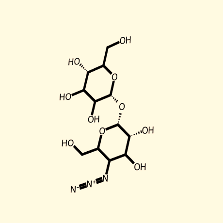 [N-]=[N+]=NC1C(CO)O[C@H](O[C@H]2OC(CO)[C@@H](O)C(O)C2O)[C@H](O)C1O